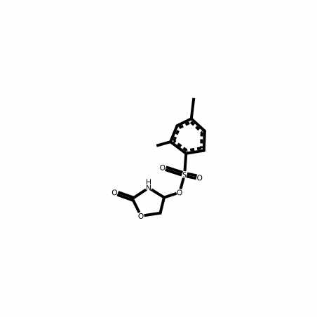 Cc1ccc(S(=O)(=O)OC2COC(=O)N2)c(C)c1